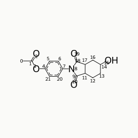 CC(=O)Oc1ccc(N2C(=O)C3CCC(O)CC3C2=O)cc1